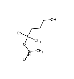 CC[SiH](C)O[Si](C)(CC)CCCO